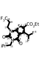 CCOC(=O)c1sc2c(c1C(F)F)c(=O)n(CC(C)C)c(=O)n2CCC(F)(F)F